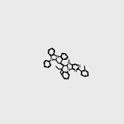 CCC12Cc3ccc(c1c3)N1c3nc(-c4ccccc4C)ncc3N(C)C1/C2=C1/CC2N(c3ccccc3)c3ccccc3N2c2ccccc21